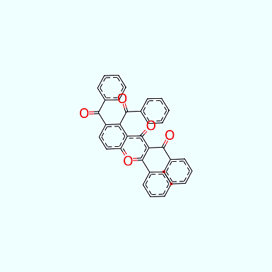 O=C(c1ccccc1)c1ccc2oc(-c3ccccc3)c(C(=O)c3ccccc3)c(=O)c2c1C(=O)c1ccccc1